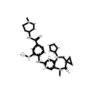 CN1CCC(NC(=O)c2ccc(Nc3ncc4c(n3)N(C3CCCC3)CC3(CC3)C(=O)N4C)c(OC(F)(F)F)c2)CC1